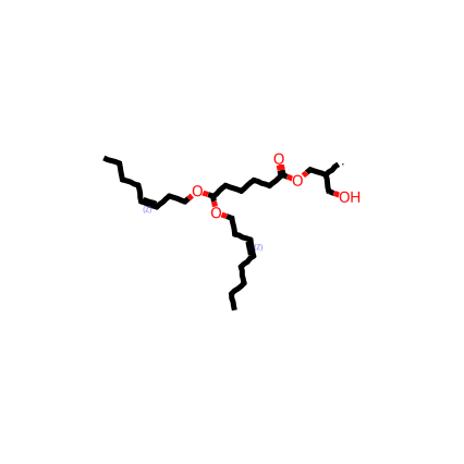 [CH2]C(CO)COC(=O)CCCCC(OCC/C=C\CCCC)OCC/C=C\CCCC